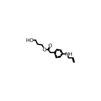 C=CCNc1ccc(CC(=O)OCCCO)cc1